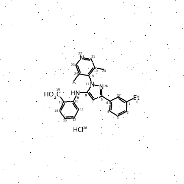 CCc1cccc(-c2cc(Nc3ccccc3C(=O)O)n(-c3c(C)cncc3C)n2)c1.Cl